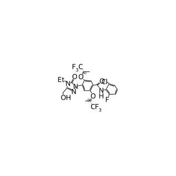 CCn1c(CO)nn(-c2cc(O[C@@H](C)C(F)(F)F)c(C(=O)Nc3c(F)cccc3Cl)cc2O[C@@H](C)C(F)(F)F)c1=O